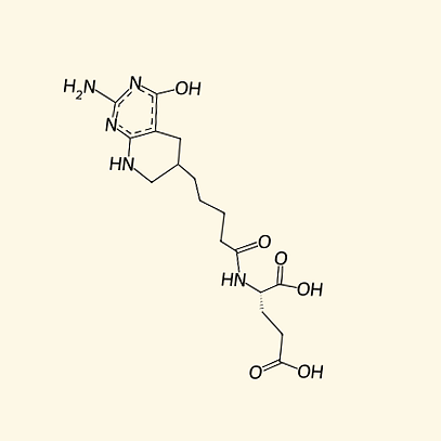 Nc1nc(O)c2c(n1)NCC(CCCCC(=O)N[C@@H](CCC(=O)O)C(=O)O)C2